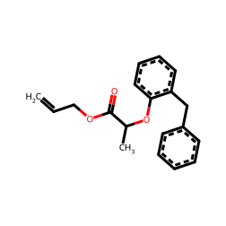 C=CCOC(=O)C(C)Oc1ccccc1Cc1ccccc1